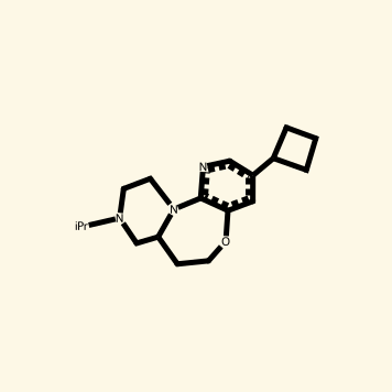 CC(C)N1CCN2c3ncc(C4CCC4)cc3OCCC2C1